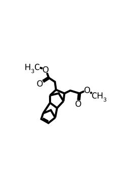 COC(=O)CC1C(CC(=O)OC)C2CC1C1C3C=CC(C3)C21